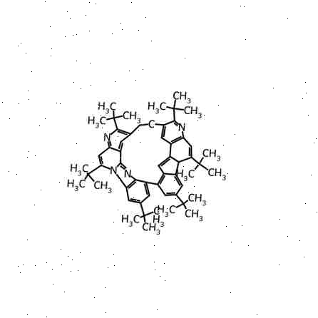 CC(C)(C)C1=Cc2nc(C(C)(C)C)c3cc2C2=Cc4c(cc(C(C)(C)C)cc4C21)-c1cc(C(C)(C)C)cc2c1nc1c4cc(c(C(C)(C)C)nc4cc(C(C)(C)C)n21)CC3